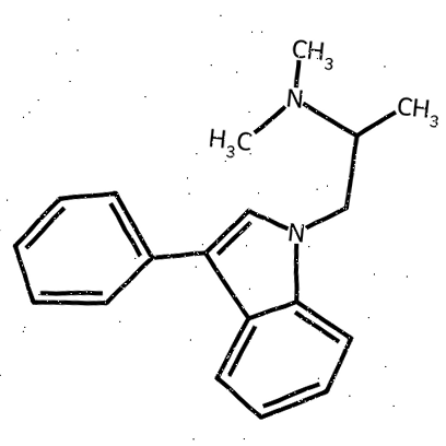 CC(Cn1cc(-c2ccccc2)c2ccccc21)N(C)C